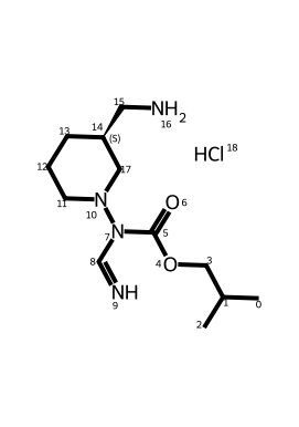 CC(C)COC(=O)N(C=N)N1CCC[C@@H](CN)C1.Cl